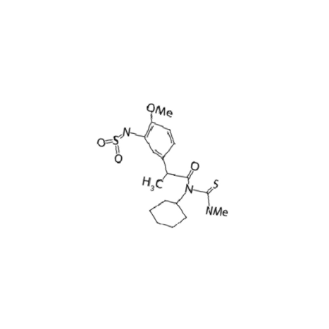 CNC(=S)N(C(=O)C(C)c1ccc(OC)c(N=S(=O)=O)c1)C1CCCCC1